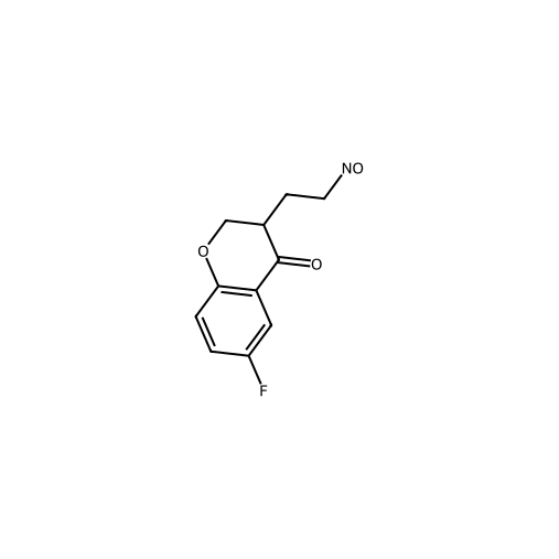 O=NCCC1COc2ccc(F)cc2C1=O